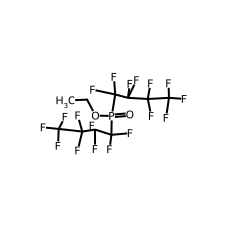 CCOP(=O)(C(F)(F)C(F)(F)C(F)(F)C(F)(F)F)C(F)(F)C(F)(F)C(F)(F)C(F)(F)F